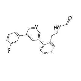 O=CNCCc1ccccc1-c1cncc(-c2cccc(F)c2)c1